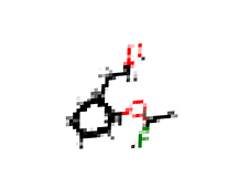 CC(F)Oc1ccccc1C[C]=O